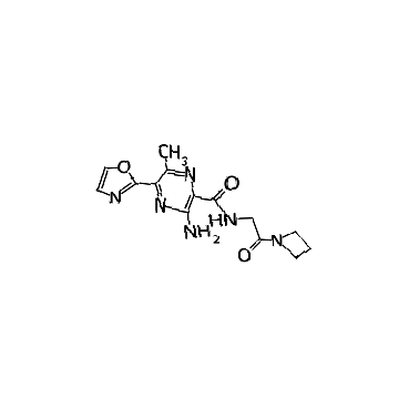 Cc1nc(C(=O)NCC(=O)N2CCC2)c(N)nc1-c1ncco1